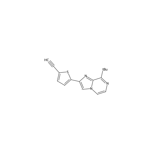 C#Cc1ccc(-c2[c]n3ccnc(C(C)(C)C)c3n2)s1